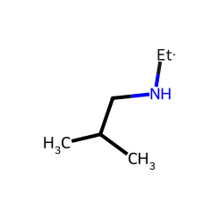 C[CH]NCC(C)C